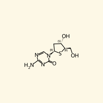 Nc1ncn([C@H]2C[C@H](O)[C@@H](CO)S2)c(=O)n1